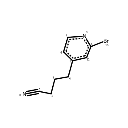 N#CCCCc1ccnc(Br)c1